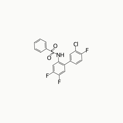 O=S(=O)(Nc1cc(F)c(F)cc1-c1ccc(F)c(Cl)c1)c1ccccc1